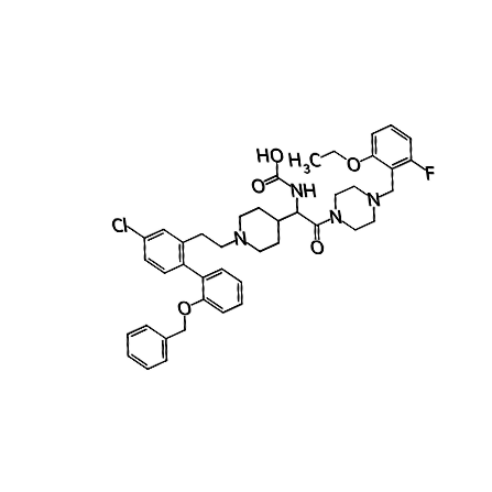 CCOc1cccc(F)c1CN1CCN(C(=O)C(NC(=O)O)C2CCN(CCc3cc(Cl)ccc3-c3ccccc3OCc3ccccc3)CC2)CC1